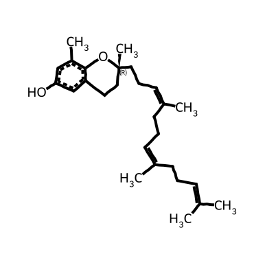 CC(C)=CCCC(C)=CCCC(C)=CCC[C@]1(C)CCc2cc(O)cc(C)c2O1